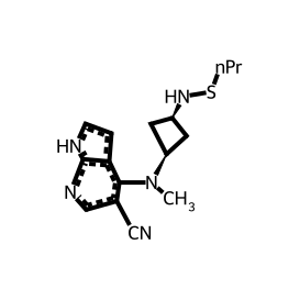 CCCSN[C@H]1C[C@@H](N(C)c2c(C#N)cnc3[nH]ccc23)C1